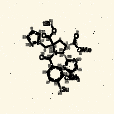 COC(=O)[C@H]1C[C@@](Cn2cccn2)(C(=O)OC(C)(C)C)N(C(=O)c2ccc(C(C)(C)C)c(OC)c2)[C@H]1c1ncc(C)s1